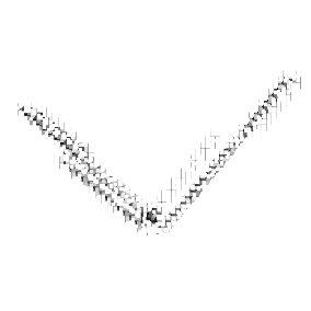 O.O.O.O.O.O.O.O.O.O.O.O.O.O.O.O.O.O.O.O.O.O.O.O.O.O.O.O.O.O.[KH].[KH].[KH].[KH].[KH].[KH].[KH].[KH].[KH].[KH].[KH].[KH].[KH].[KH].[KH].[KH].[KH].[KH].[KH].[KH]